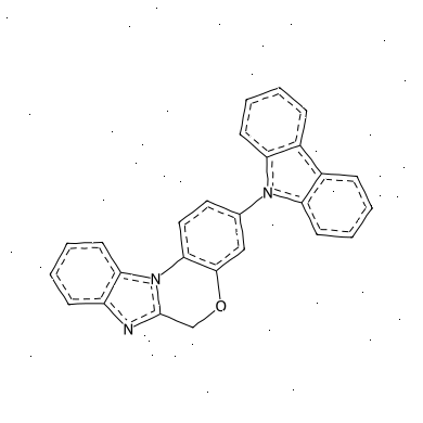 c1ccc2c(c1)nc1n2-c2ccc(-n3c4ccccc4c4ccccc43)cc2OC1